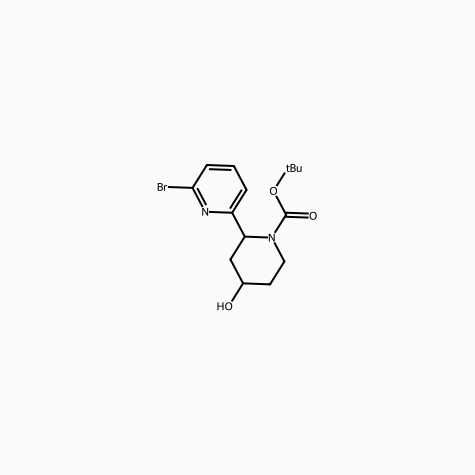 CC(C)(C)OC(=O)N1CCC(O)CC1c1cccc(Br)n1